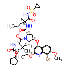 C=CC1C[C@]1(NC(=O)[C@@H]1C[C@@H](Oc2cc(OCC)nc3c(Br)c(OC)ccc23)CN1C(=O)[C@@H](NC(=O)OC1CCCC1)C(C)(C)C)C(=O)NS(=O)(=O)C1CC1